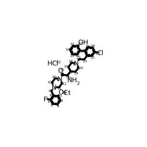 CCOc1cccc(F)c1CN1CCN(C(=O)[C@H](N)C2CCN(CCc3cc(Cl)ccc3-c3ccccc3O)CC2)CC1.Cl